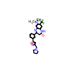 CN(C)c1cc2c(cc1C(F)(F)F)NC(=O)CC(c1cccc(-c3cc(CN4CCCC4)no3)c1)=N2